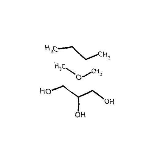 CCCC.COC.OCC(O)CO